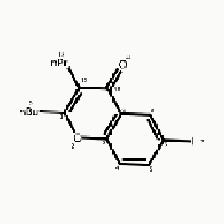 CCCCc1oc2ccc(I)cc2c(=O)c1CCC